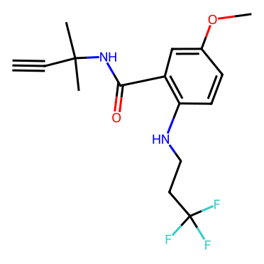 C#CC(C)(C)NC(=O)c1cc(OC)ccc1NCCC(F)(F)F